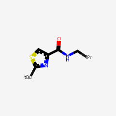 CC(C)CNC(=O)c1csc(C(C)(C)C)n1